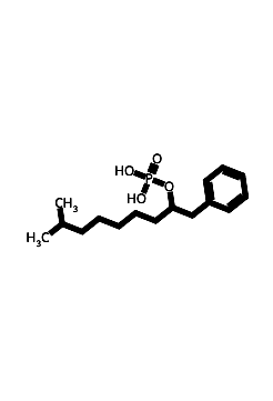 CC(C)CCCCCC(Cc1ccccc1)OP(=O)(O)O